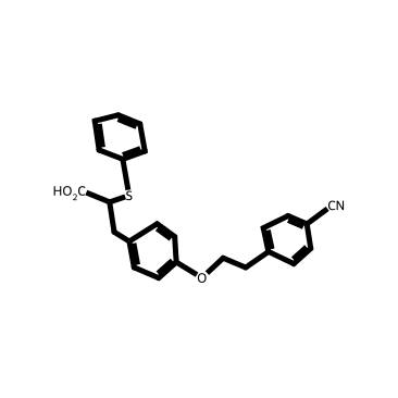 N#Cc1ccc(CCOc2ccc(CC(Sc3ccccc3)C(=O)O)cc2)cc1